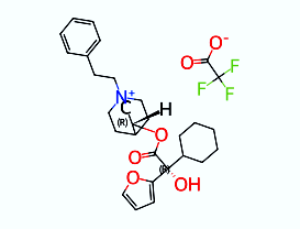 O=C(O[C@H]1C[N+]2(CCc3ccccc3)CCC1CC2)[C@](O)(c1ccco1)C1CCCCC1.O=C([O-])C(F)(F)F